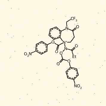 CCC(=O)N(OC(=O)Oc1ccc([N+](=O)[O-])cc1)[N+]1(C(=O)Oc2ccc([N+](=O)[O-])cc2)CCC(=O)N(CC(F)(F)F)c2ccccc21